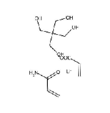 C=CC(=O)[O-].C=CC(N)=O.OCC(CO)(CO)CO.[Li+]